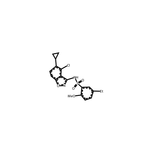 CCc1ccc(OC)c(S(=O)(=O)Nc2noc3ccc(C4CC4)c(Cl)c23)c1